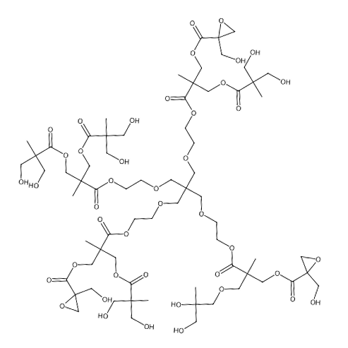 CC(O)(CO)COCC(C)(COC(=O)C1(CO)CO1)C(=O)OCCOCC(COCCOC(=O)C(C)(COC(=O)C(C)(CO)CO)COC(=O)C(C)(CO)CO)(COCCOC(=O)C(C)(COC(=O)C(C)(CO)CO)COC(=O)C1(CO)CO1)COCCOC(=O)C(C)(COC(=O)C(C)(CO)CO)COC(=O)C1(CO)CO1